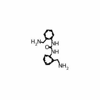 NCc1ccccc1NC(=O)Nc1ccccc1CN